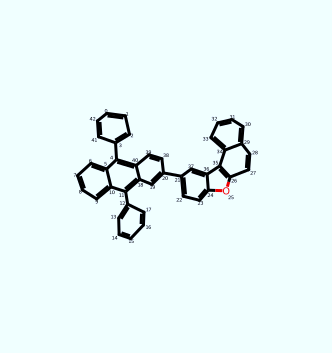 c1ccc(-c2c3ccccc3c(-c3ccccc3)c3cc(-c4ccc5oc6ccc7ccccc7c6c5c4)ccc23)cc1